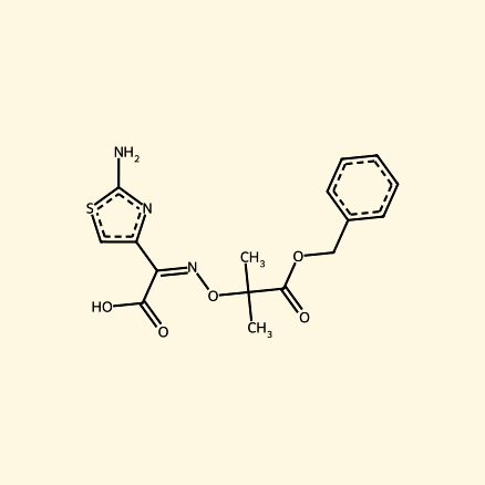 CC(C)(ON=C(C(=O)O)c1csc(N)n1)C(=O)OCc1ccccc1